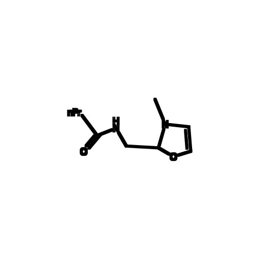 CCCC(=O)NCC1OC=CN1C